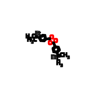 CCC(C)(C)c1ccc(C(=O)OC(=O)c2ccc(C(C)(C)CC)cc2)cc1